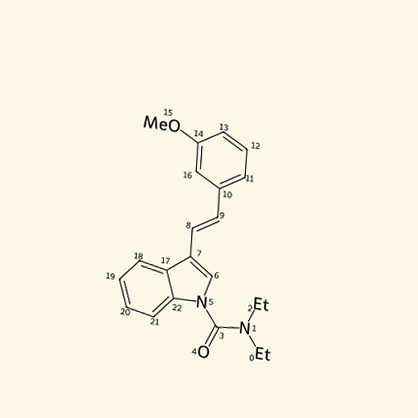 CCN(CC)C(=O)n1cc(C=Cc2cccc(OC)c2)c2ccccc21